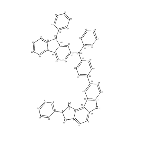 c1ccc(C2Nc3c(ccc4oc5ccc(-c6ccc(N(c7ccccc7)c7ccc8c9ccccc9n(-c9ccccc9)c8c7)cc6)cc5c34)O2)cc1